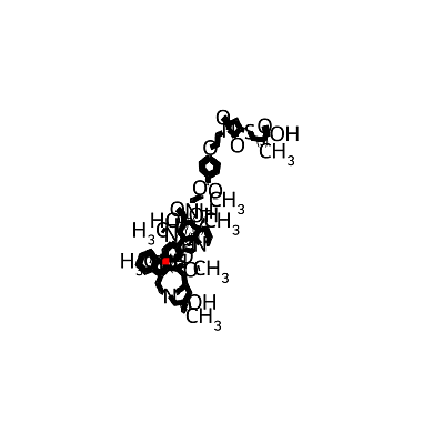 CC[C@]1(O)CC2CN(CCc3c([nH]c4ccccc34)[C@@](C(=O)OC)(c3cc4c(cc3OC)N(C)[C@H]3[C@@](O)(C(=O)NCCOC(OC)c5ccc(OCCN6C(=O)CC(SC[C@@H](C)C(=O)O)C6=O)cc5)[C@H](O)[C@]5(CC)C=CCN6CC[C@]43[C@@H]65)C2)C1